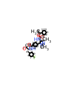 COC(=O)[C@@H](Cc1ccc(F)cc1)NC(=O)c1ccc(-c2c(NC(=O)OC(C)c3ccccc3)c(C)nn2C)cc1